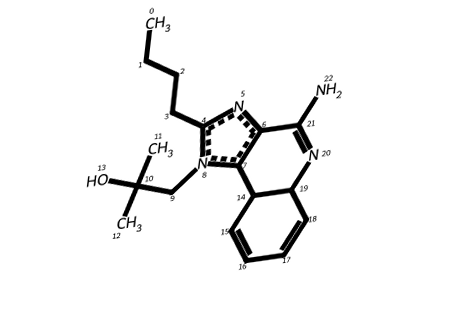 CCCCc1nc2c(n1CC(C)(C)O)C1C=CC=CC1N=C2N